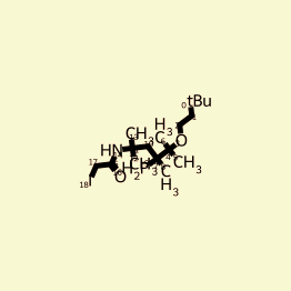 CC(C)(C)CCOC(C)(C)C(C)(P)CC(C)(C)NC(=O)CI